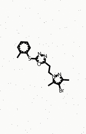 Cc1ccccc1Sc1nnc(CCn2nc(C)c(Br)c2C)o1